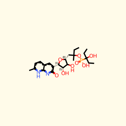 CCC(C)(C[C@H]1O[C@@H](c2cc3ccc(C)[nH]c-3nc2=O)[C@@H](O)C1O)OP(=O)(O)C(O)(CC)CC